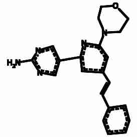 Nc1ncc(-c2cc(C=Cc3ccccc3)cc(N3CCOCC3)n2)cn1